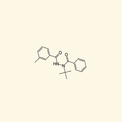 Cc1cccc(C(=O)NN(C(=O)c2ccccc2)C(C)(C)C)c1